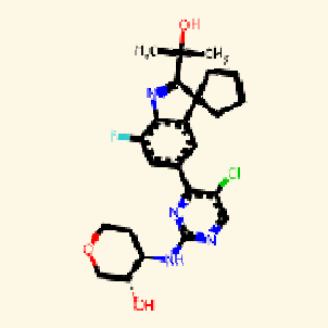 CC(C)(O)C1=Nc2c(F)cc(-c3nc(N[C@@H]4CCOC[C@H]4O)ncc3Cl)cc2C12CCCC2